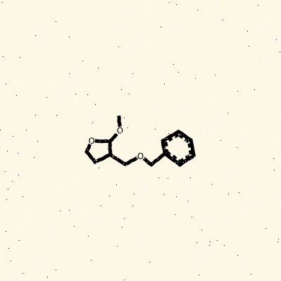 COC1OCCC1COCc1ccccc1